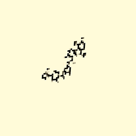 Cc1nc(N2CCCC2=O)ncc1C(C)n1cc(NC(=O)c2nc(-c3c(C(F)F)ccc(Cl)c3F)cnc2C)cn1